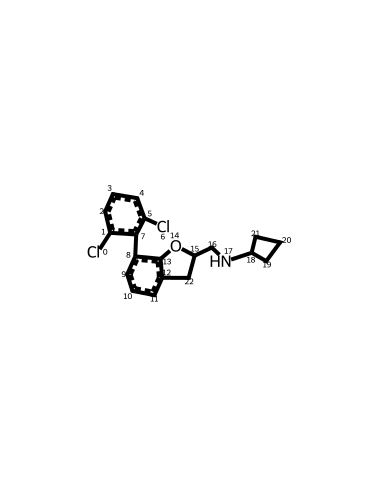 Clc1cccc(Cl)c1-c1cccc2c1OC(CNC1CCC1)C2